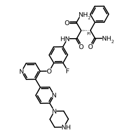 NC(=O)C(C(=O)Nc1ccc(Oc2ccncc2-c2ccc(N3CCNCC3)nc2)c(F)c1)[C@@H](C(N)=O)c1ccccc1